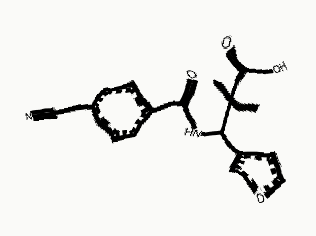 CC(C)(C(=O)O)C(NC(=O)c1ccc(C#N)cc1)c1ccoc1